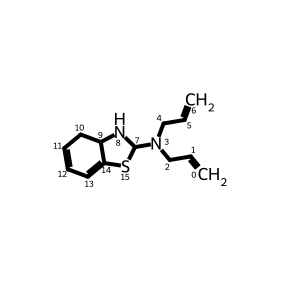 C=CCN(CC=C)C1NC2CC=CC=C2S1